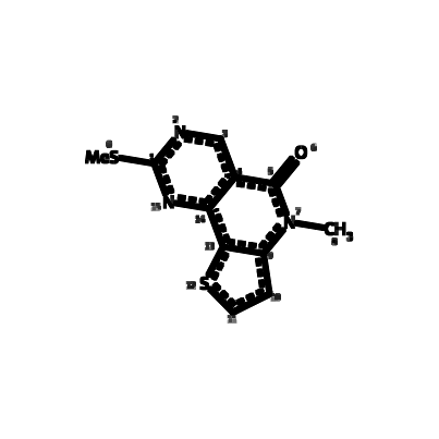 CSc1ncc2c(=O)n(C)c3ccsc3c2n1